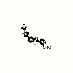 O=Cc1cc(-c2nc3cc(-c4cnn(C5COC5)c4)ccc3o2)ccn1